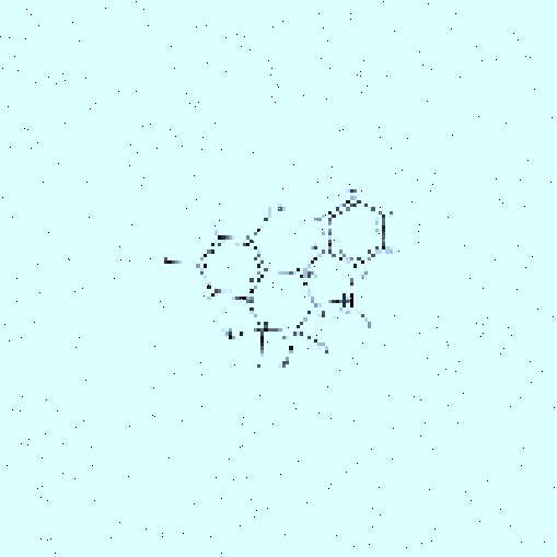 Cc1cc(F)c2c(c1)C(C)(C)C(C)(C)C1N(C)c3ccccc3N21